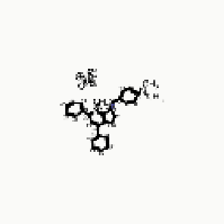 CN(C)c1ccc(/C=C2\CCc3c(-c4ccccc4)cc(-c4ccccc4)[n+](C)c32)cc1.[O-][Cl+3]([O-])([O-])[O-]